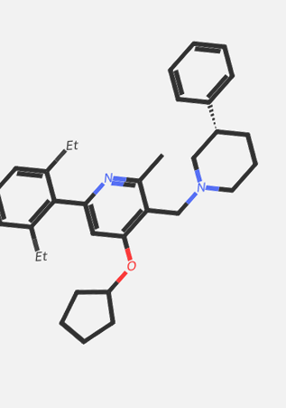 CCc1cccc(CC)c1-c1cc(OC2CCCC2)c(CN2CCC[C@@H](c3ccccc3)C2)c(C)n1